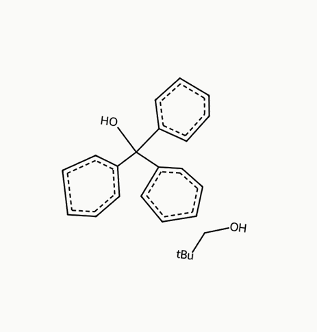 CC(C)(C)CO.OC(c1ccccc1)(c1ccccc1)c1ccccc1